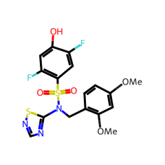 COc1ccc(CN(c2ncns2)S(=O)(=O)c2cc(F)c(O)cc2F)c(OC)c1